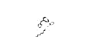 CCCCCCCCOC(=O)c1ccccc1O.COc1ccc(C(=O)c2ccccc2)c(O)c1